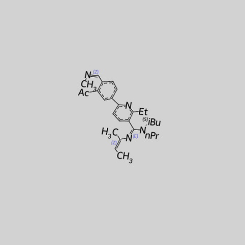 C/C=C(C)\N=C(/c1ccc(-c2ccc(/C=N\C)c(C(C)=O)c2)nc1CC)N(CCC)[C@@H](C)CC